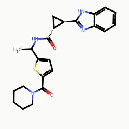 CC(NC(=O)[C@@H]1C[C@H]1c1nc2ccccc2[nH]1)c1ccc(C(=O)N2CCCCC2)s1